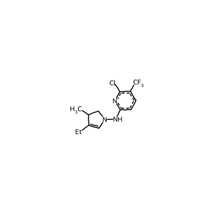 CCC1=CN(Nc2ccc(C(F)(F)F)c(Cl)n2)CC1C